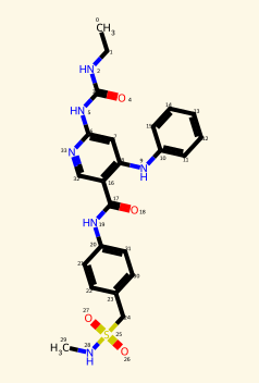 CCNC(=O)Nc1cc(Nc2ccccc2)c(C(=O)Nc2ccc(CS(=O)(=O)NC)cc2)cn1